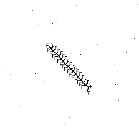 F/[C]=C(\F)C(F)(F)C(F)(F)C(F)(F)C(F)(F)C(F)(F)C(F)(F)C(F)(F)C(F)(F)C(F)(F)C(F)(F)C(F)(F)C(F)(F)C(F)(F)C(F)(F)C(F)(F)F